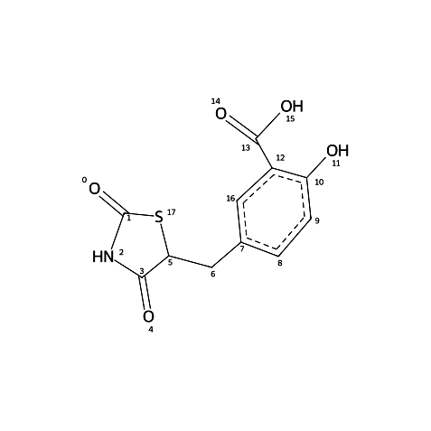 O=C1NC(=O)C(Cc2ccc(O)c(C(=O)O)c2)S1